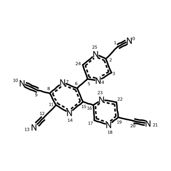 N#Cc1cnc(-c2nc(C#N)c(C#N)nc2-c2cnc(C#N)cn2)cn1